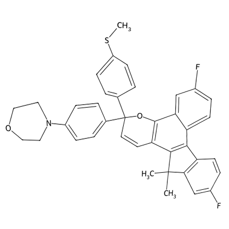 CSc1ccc(C2(c3ccc(N4CCOCC4)cc3)C=Cc3c4c(c5ccc(F)cc5c3O2)-c2ccc(F)cc2C4(C)C)cc1